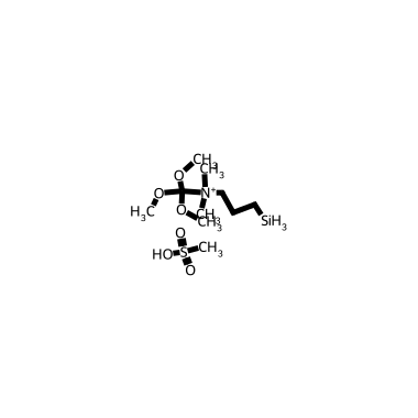 COC(OC)(OC)[N+](C)(C)CCC[SiH3].CS(=O)(=O)O